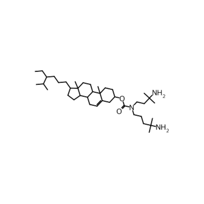 CCC(CCCC1CCC2C3CC=C4CC(OC(=O)N(CCCC(C)(C)N)CCC(C)(C)N)CCC4(C)C3CCC12C)C(C)C